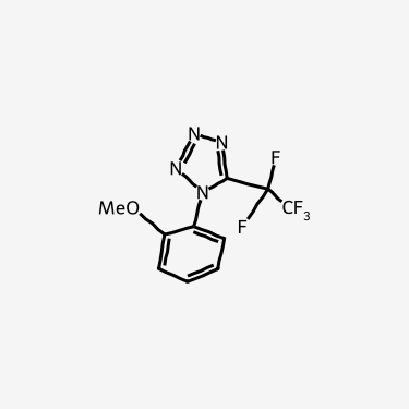 COc1ccccc1-n1nnnc1C(F)(F)C(F)(F)F